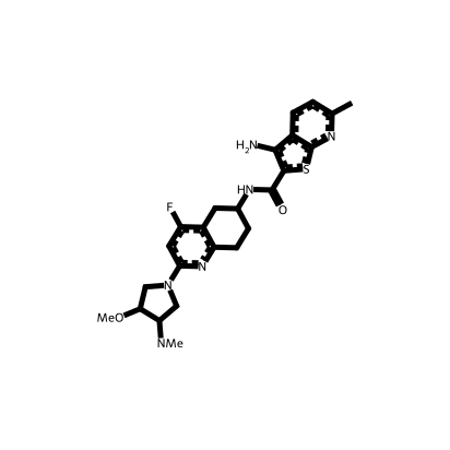 CNC1CN(c2cc(F)c3c(n2)CCC(NC(=O)c2sc4nc(C)ccc4c2N)C3)CC1OC